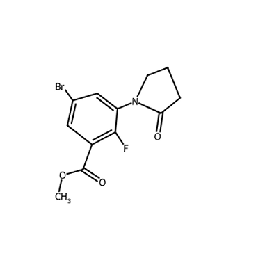 COC(=O)c1cc(Br)cc(N2CCCC2=O)c1F